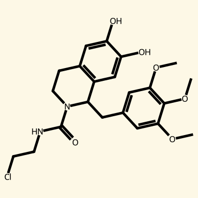 COc1cc(CC2c3cc(O)c(O)cc3CCN2C(=O)NCCCl)cc(OC)c1OC